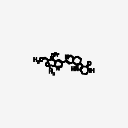 C=CC(=O)N(CCC)c1cc(-c2cc3c(cn2)CCc2c-3[nH]c3c2C(=O)NCC3)cnc1C